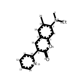 CCN(C)c1cc2oc(=O)c(-c3ccccn3)cc2cc1C